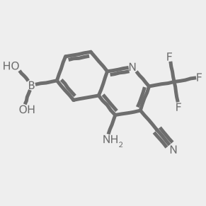 N#Cc1c(C(F)(F)F)nc2ccc(B(O)O)cc2c1N